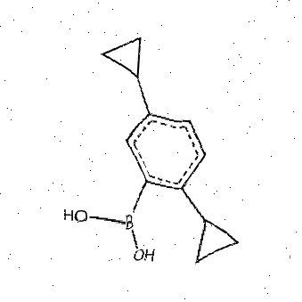 OB(O)c1cc(C2CC2)ccc1C1CC1